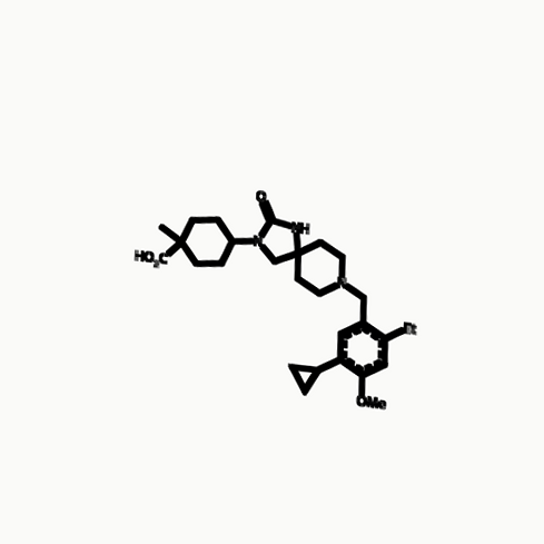 CCc1cc(OC)c(C2CC2)cc1CN1CCC2(CC1)CN(C1CCC(C)(C(=O)O)CC1)C(=O)N2